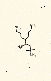 CC(C)(N)CC(N)C(CCCN)CCCN